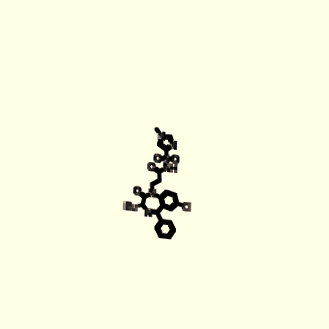 CC[C@H](C)C1N=C(c2ccccc2)c2cc(Cl)ccc2N(CCC(=O)NS(=O)(=O)c2cn(C)cn2)C1=O